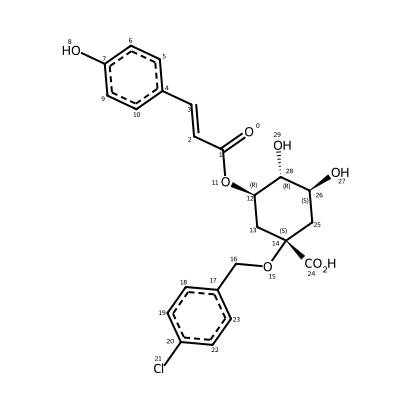 O=C(C=Cc1ccc(O)cc1)O[C@@H]1C[C@](OCc2ccc(Cl)cc2)(C(=O)O)C[C@H](O)[C@H]1O